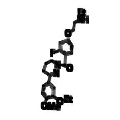 CCNCCOc1ccc(C(=O)N2CCCC(c3ccc(OC)c(OCC)c3)=N2)c(F)c1